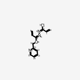 C=C/C(Cl)=N\N=C(/C=C)OCc1ccccn1